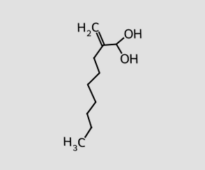 C=C(CCCCCCC)C(O)O